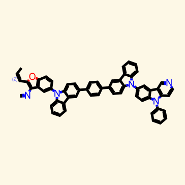 C=Nc1c(/C=C\C)oc2ccc(-n3c4ccccc4c4cc(-c5ccc(-c6ccc7c(c6)c6ccccc6n7-c6ccc7c(c6)c6cnccc6n7-c6ccccc6)cc5)ccc43)cc12